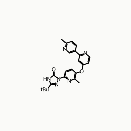 Cc1ccc(-c2cc(Oc3ccc(-n4nc(C(C)(C)C)[nH]c4=O)nc3C)ccn2)cn1